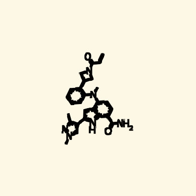 C=CC(=O)N1CC(c2ccccc2N(C)c2ccc(C(N)=O)c3[nH]c(-c4cn(C)nc4C)cc23)C1